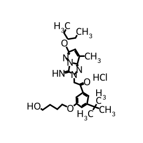 CCC(CC)Oc1cc(C)c2nn(CC(=O)c3cc(OCCCCO)cc(C(C)(C)C)c3)c(=N)n2n1.Cl